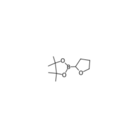 CC1(C)OB(C2CCCO2)OC1(C)C